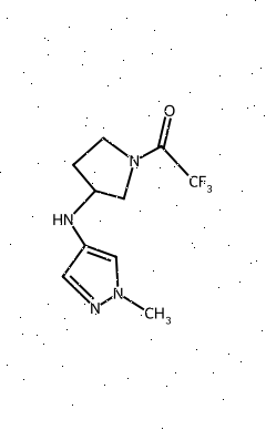 Cn1cc(NC2CCN(C(=O)C(F)(F)F)C2)cn1